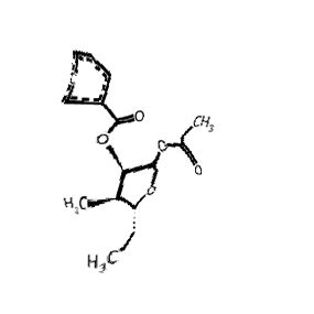 CC[C@H]1OC(OC(C)=O)[C@H](OC(=O)c2ccccc2)[C@@H]1C